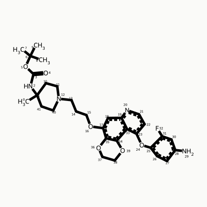 CC1(NC(=O)OC(C)(C)C)CCN(CCCOc2cc3nccc(Oc4ccc(N)cc4F)c3c3c2OCCO3)CC1